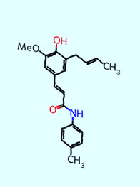 C/C=C/Cc1cc(/C=C/C(=O)Nc2ccc(C)cc2)cc(OC)c1O